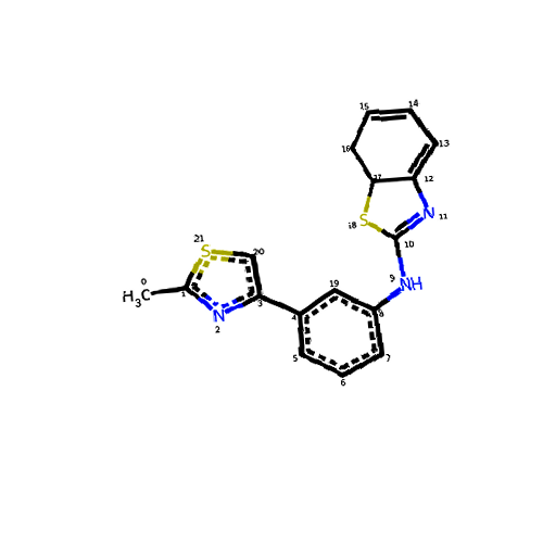 Cc1nc(-c2cccc(NC3=NC4=CC=CCC4S3)c2)cs1